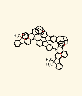 CC1(C)c2ccccc2-c2ccc(N(c3ccc4c(c3)C3(c5cc(N(c6ccc7c(c6)C(C)(C)c6ccccc6-7)c6ccccc6-c6ccccc6)ccc5-4)c4cc5c(cc4-c4cc6c(cc43)C3CC4CC7CC6CC74C3)C3CC4CC(C3)CC5C4)c3ccccc3-c3ccccc3)cc21